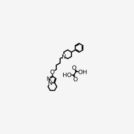 O=C(O)C(=O)O.c1ccc(C2CCN(CCCCOc3cc4n(n3)CCCC4)CC2)cc1